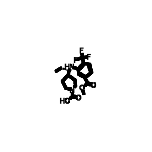 CC[C@H](Nc1cc(C(=O)OC)ccc1C(F)(F)F)C1CCN(C(=O)O)CC1